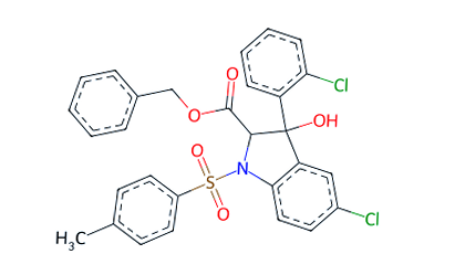 Cc1ccc(S(=O)(=O)N2c3ccc(Cl)cc3C(O)(c3ccccc3Cl)C2C(=O)OCc2ccccc2)cc1